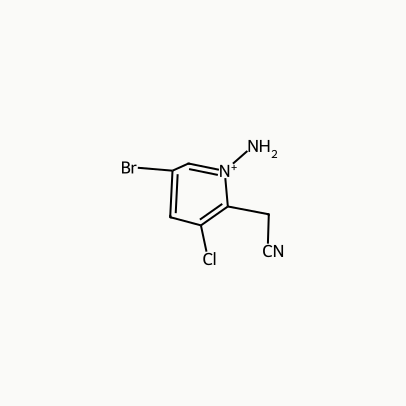 N#CCc1c(Cl)cc(Br)c[n+]1N